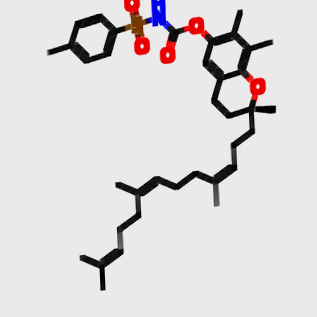 CC(C)=CCCC(C)=CCCC(C)=CCC[C@]1(C)CCc2cc(OC(=O)NS(=O)(=O)c3ccc(C)cc3)c(C)c(C)c2O1